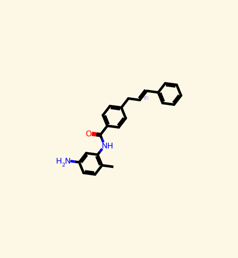 Cc1ccc(N)cc1NC(=O)c1ccc(C/C=C/c2ccccc2)cc1